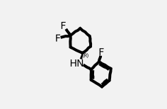 Fc1ccccc1N[C@@H]1CCCC(F)(F)C1